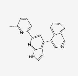 Cc1cccc(-c2cc(-c3cncc4ccccc34)c3cc[nH]c3n2)n1